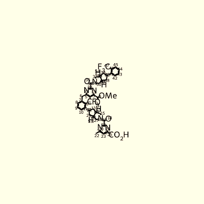 COC(=O)c1cc(Cc2cccc([C@@H]3C[C@@H]4CN(C(=O)c5nc(C)cc(C(=O)O)n5)C[C@@H]4C3)c2C(F)(F)F)nc(C(=O)N2C[C@H]3C[C@@H](c4ccccc4C(F)(F)F)C[C@H]3C2)n1